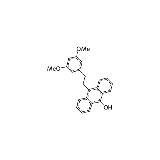 COc1cc(CCc2c3ccccc3c(O)c3ccccc23)cc(OC)c1